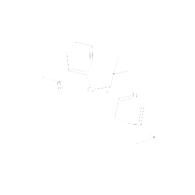 COC(=O)c1cccc2c1N[C@@H](c1ccc(C(F)(F)F)cn1)C2(C)C